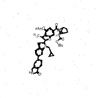 COc1cc(C(=O)N2CC3CCC2[C@@H]3NC(=O)OC(C)(C)C)cc2oc(-c3cc4ccc(-c5ccc6c(c5)CNC6=O)cc4n3CC3CC3)c(C)c12